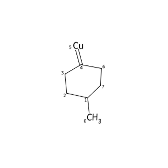 CC1CC[C](=[Cu])CC1